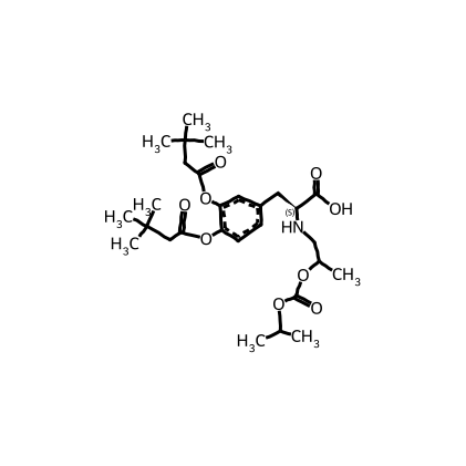 CC(C)OC(=O)OC(C)CN[C@@H](Cc1ccc(OC(=O)CC(C)(C)C)c(OC(=O)CC(C)(C)C)c1)C(=O)O